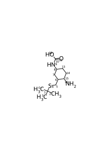 CC(C)(C)SCC1CC(NC(=O)O)CCC1N